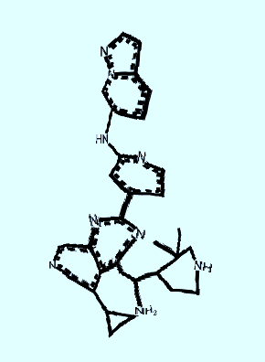 CC1(C)CNCCC1C(N)c1nc(-c2ccnc(Nc3ccc4ccnn4c3)c2)nc2cncc(C3CC3)c12